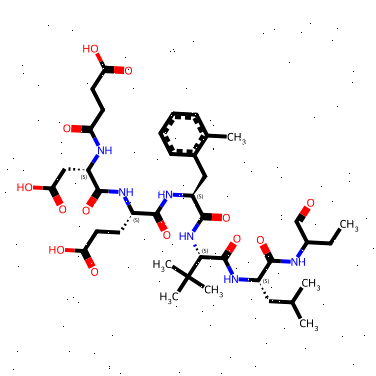 CCC(C=O)NC(=O)[C@H](CC(C)C)NC(=O)[C@@H](NC(=O)[C@H](Cc1ccccc1C)NC(=O)[C@H](CCC(=O)O)NC(=O)[C@H](CC(=O)O)NC(=O)CCC(=O)O)C(C)(C)C